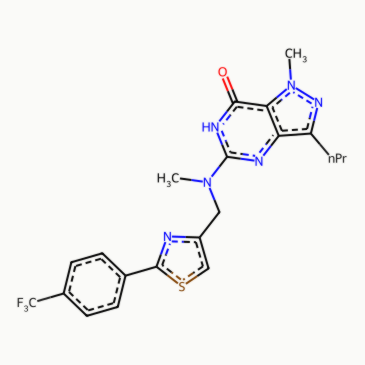 CCCc1nn(C)c2c(=O)[nH]c(N(C)Cc3csc(-c4ccc(C(F)(F)F)cc4)n3)nc12